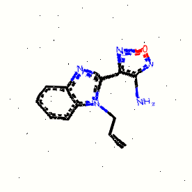 C=CCn1c(-c2nonc2N)nc2ccccc21